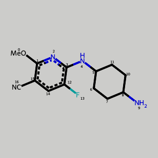 COc1nc(NC2CCC(N)CC2)c(F)cc1C#N